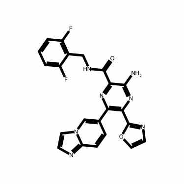 Nc1nc(-c2ncco2)c(-c2ccc3nccn3c2)nc1C(=O)NCc1c(F)cccc1F